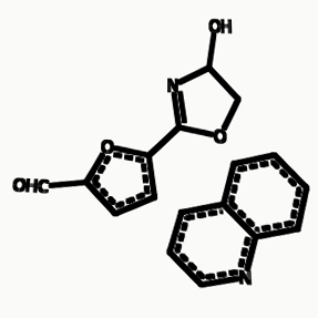 O=Cc1ccc(C2=NC(O)CO2)o1.c1ccc2ncccc2c1